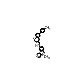 Cc1ccc(-c2ccc3c(c2)C=C(CNc2ccc(CN(C)C4CCOCC4)cc2)CCO3)cc1